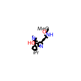 COCC(=O)NC(C)(C)C#Cc1cncc([C@@](O)(c2ccc(C(C)C)cc2)C2(C)CN(C)C2)c1